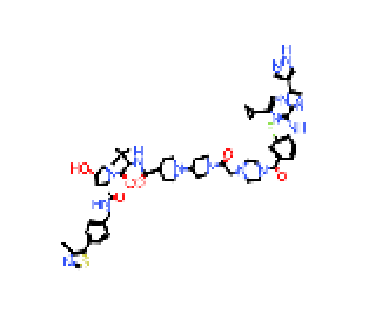 Cc1ncsc1-c1ccc(CNC(=O)[C@@H]2C[C@@H](O)CN2C(=O)[C@@H](NC(=O)C2CCN(C3CCN(C(=O)CN4CCN(C(=O)c5ccc(Nc6nc(C7CC7)cn7c(-c8cn[nH]c8)cnc67)c(F)c5)CC4)CC3)CC2)C(C)(C)C)cc1